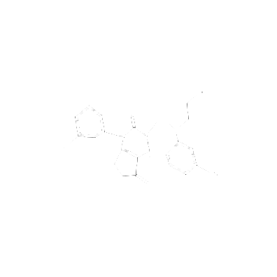 CN1C(=O)N(c2cccc(C(F)(F)F)c2)C2=C(C(=O)CC2)[C@H]1c1ccc(C#N)cc1[S+]([O-])CCO